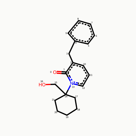 O=c1c(Cc2ccccc2)cccn1C1(CO)CCCCC1